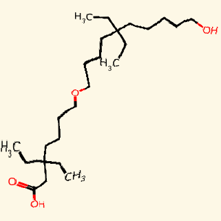 CCC(CC)(CCCCCO)CCCCOCCCCC(CC)(CC)CC(=O)O